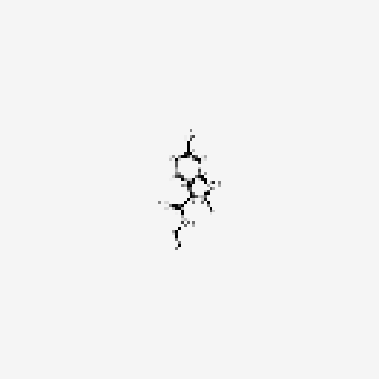 CCOC(=O)c1c(C)oc2cc(Br)ccc12